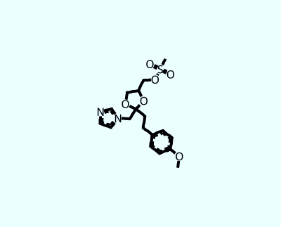 COc1ccc(CCC2(Cn3ccnc3)OCC(COS(C)(=O)=O)O2)cc1